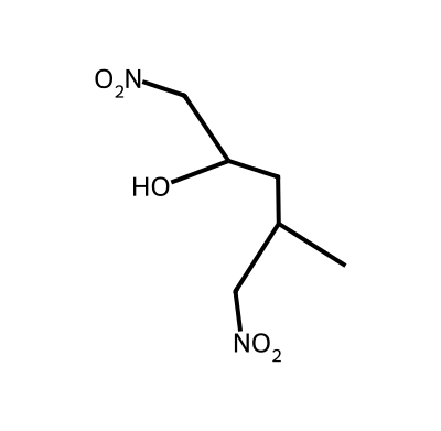 CC(CC(O)C[N+](=O)[O-])C[N+](=O)[O-]